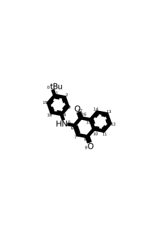 CC(C)(C)c1ccc(NC2=CC(=O)c3ccccc3C2=O)cc1